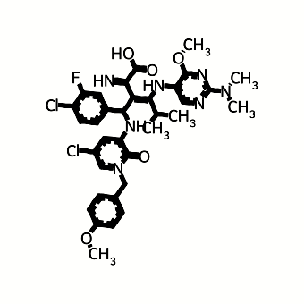 COc1ccc(Cn2cc(Cl)cc(NC(/C(C(=N)C(=O)O)=C(/Nc3cnc(N(C)C)nc3OC)C(C)C)c3ccc(Cl)c(F)c3)c2=O)cc1